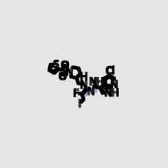 N/C(=N\C(NCC1CCCN(S(=O)(=O)c2cccs2)C1)=C(\F)CI)c1c[nH]c2ncc(Cl)cc12